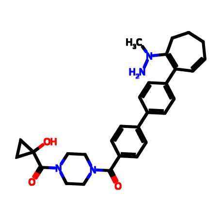 CN(N)C1=C(c2ccc(-c3ccc(C(=O)N4CCN(C(=O)C5(O)CC5)CC4)cc3)cc2)C=CCCC1